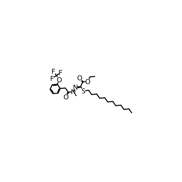 CCCCCCCCCCCCSC(=NN(C)C(=O)Cc1ccccc1OC(F)(F)F)C(=O)OCC